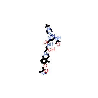 Cc1ncoc1COc1ccc2c(c1C)CCN(CC(O)CNC(=O)c1cc(NC3COC3)nc(N3CCN(C(C)(C)C)CC3)n1)C2